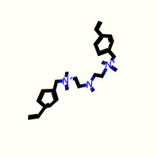 C=Cc1ccc(C[N+](C)(C)CCN(C)CC[N+](C)(C)Cc2ccc(C=C)cc2)cc1